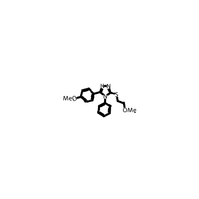 COCCSc1nnc(-c2ccc(OC)cc2)n1-c1ccccc1